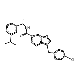 CC(C)c1cccc(C(C)NC(=O)c2ccc3c(c2)ncn3Cc2ccc(Cl)cc2)c1